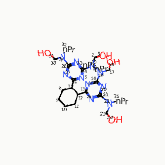 CCCN(CO)c1nc(C2CCCCC2c2nc(N(CO)CCC)nc(N(CO)CCC)n2)nc(N(CO)CCC)n1